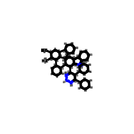 Cc1cc2c(c(-c3ccccc3-c3ccc4c([nH]c5ccccc54)c3-c3nnnc(-c4ccccc4)c3-c3ccccc3)c1C)Cc1ccccc1-2